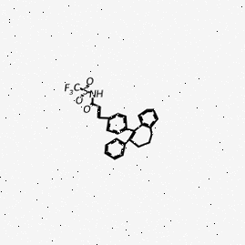 O=C(/C=C/c1ccc(C2=C(c3ccccc3)CCCc3ccccc32)cc1)NS(=O)(=O)C(F)(F)F